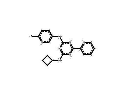 Fc1ccc(Nc2nc(NC3CCC3)nc(-c3ccccn3)n2)cn1